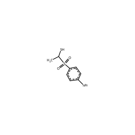 CCCc1ccc(S(=O)(=O)C(C)S)cc1